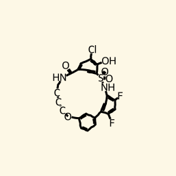 O=C1NCCCCOc2cccc(c2)-c2cc(c(F)cc2F)NS(=O)(=O)c2cc1cc(Cl)c2O